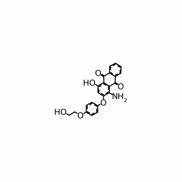 Nc1c(Oc2ccc(OCCO)cc2)cc(O)c2c1C(=O)c1ccccc1C2=O